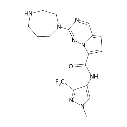 Cn1cc(NC(=O)c2ccc3cnc(N4CCCNCC4)nn23)c(C(F)(F)F)n1